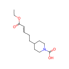 CCOC(=O)C=CCCC1CCN(C(=O)O)CC1